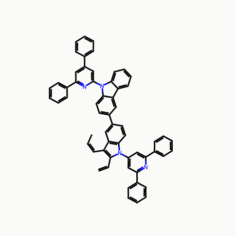 C=Cc1c(/C=C\C)c2cc(-c3ccc4c(c3)c3ccccc3n4-c3cc(-c4ccccc4)cc(-c4ccccc4)n3)ccc2n1-c1cc(-c2ccccc2)nc(-c2ccccc2)c1